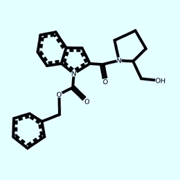 O=C(c1cc2ccccc2n1C(=O)OCc1ccccc1)N1CCCC1CO